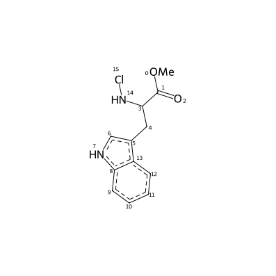 COC(=O)C(Cc1c[nH]c2ccccc12)NCl